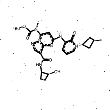 CN(C(=O)OC(C)(C)C)c1cc(Nc2cccn([C@H]3C[C@H](F)C3)c2=O)nc2c(C(=O)NC3CC[C@@H]3O)cnn12